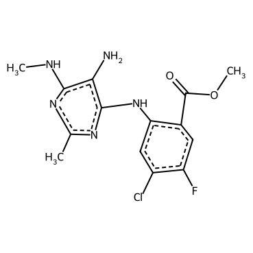 CNc1nc(C)nc(Nc2cc(Cl)c(F)cc2C(=O)OC)c1N